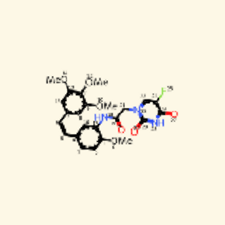 COc1ccc(/C=C\c2cc(OC)c(OC)c(OC)c2)cc1NC(=O)Cn1cc(F)c(=O)[nH]c1=O